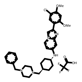 COc1cc(OC)c(-c2cn3ccc(N[C@H]4CC[C@H](CN5CCN(Cc6ccccc6)CC5)CC4)cc3n2)cc1Cl.O=C(O)C(F)(F)F